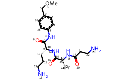 COCc1ccc(NC(=O)[C@@H](CCCN)NC(=O)[C@H](NC(=O)CCN)C(C)C)cc1